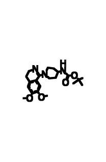 COc1cc2c(cc1OC)C(N1CCC(NC(=O)OC(C)(C)C)CC1)=NCC2